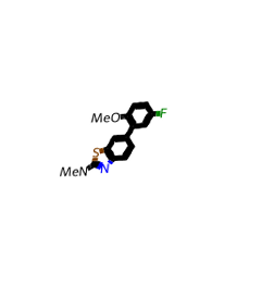 CNc1nc2ccc(-c3cc(F)ccc3OC)cc2s1